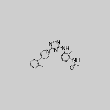 CC(=O)Nc1cccc(Nc2ncnc(N3CC=C(c4ccccc4C)CC3)n2)c1C